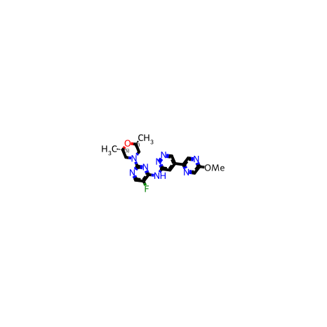 COc1cnc(-c2cnnc(Nc3nc(N4C[C@@H](C)O[C@@H](C)C4)ncc3F)c2)cn1